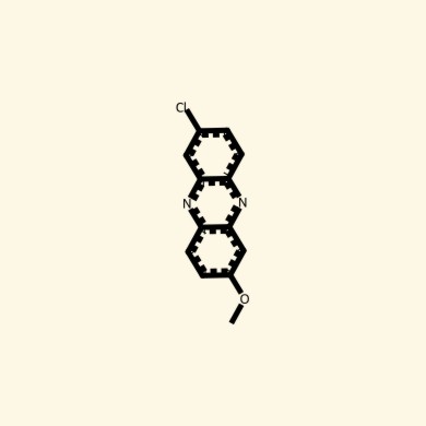 COc1ccc2nc3cc(Cl)ccc3nc2c1